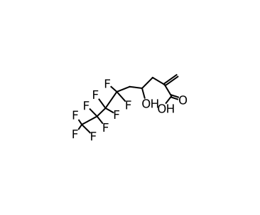 C=C(CC(O)CC(F)(F)C(F)(F)C(F)(F)C(F)(F)F)C(=O)O